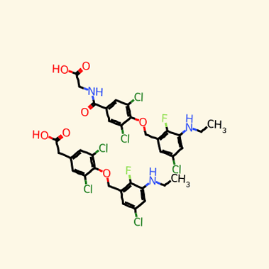 CCNc1cc(Cl)cc(COc2c(Cl)cc(C(=O)NCC(=O)O)cc2Cl)c1F.CCNc1cc(Cl)cc(COc2c(Cl)cc(CC(=O)O)cc2Cl)c1F